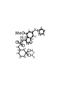 COc1cc(Cn2cccn2)cc2onc(NS(=O)(=O)CC3CCCC(C)(C)C3)c12